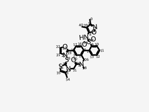 Cc1noc(NS(=O)(=O)c2ccccc2-c2ccc(-c3ncco3)cc2CN(C)C(=O)Cn2c(C)csc2=S)c1C